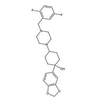 OC1(c2ccc3c(c2)OCO3)CCC(N2CCN(Cc3cc(F)ccc3F)CC2)CC1